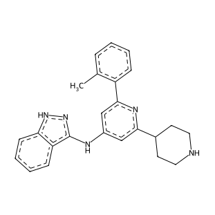 Cc1ccccc1-c1cc(Nc2n[nH]c3ccccc23)cc(C2CCNCC2)n1